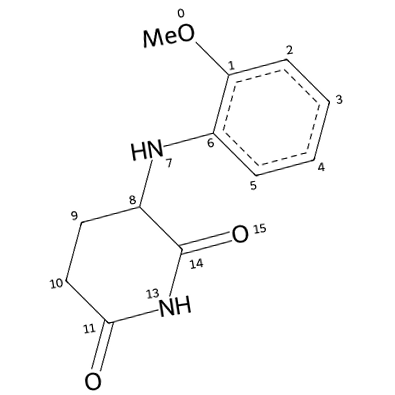 COc1ccccc1NC1CCC(=O)NC1=O